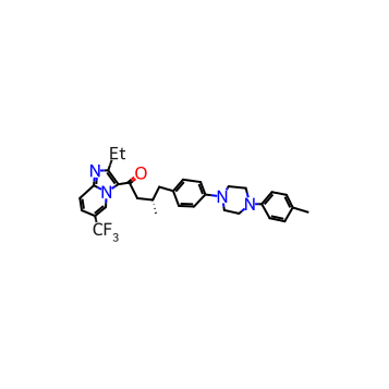 CCc1nc2ccc(C(F)(F)F)cn2c1C(=O)C[C@@H](C)Cc1ccc(N2CCN(c3ccc(C)cc3)CC2)cc1